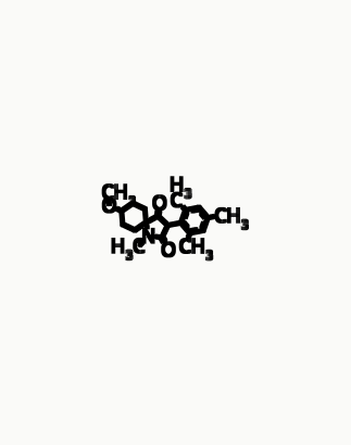 COC1CCC2(CC1)C(=O)C(c1c(C)cc(C)cc1C)C(=O)N2C